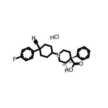 C[C@@H]1CN(C2CCC(C#N)(c3ccc(F)cc3)CC2)CC[C@@]1(C(=O)O)c1ccccc1.Cl